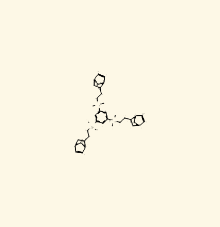 C[Si](C)(CCC1CC2C=CC1C2)c1cc([Si](C)(C)CCC2CC3C=CC2C3)cc([Si](C)(C)CCC2CC3C=CC2C3)c1